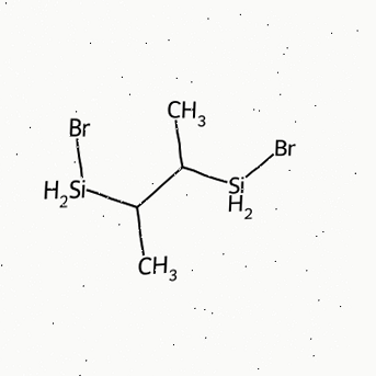 CC([SiH2]Br)C(C)[SiH2]Br